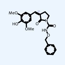 COc1cc(/C=C2/CCN(C(=O)NOCc3ccccc3)C2=O)cc(OC)c1O